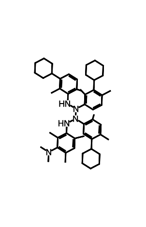 Cc1cc(C)c(N(Nc2c(C)cc(C)c(N(C)C)c2C)N(Nc2c(C)ccc(C3CCCCC3)c2C)c2ccc(C)c(C3CCCCC3)c2C)cc1C1CCCCC1